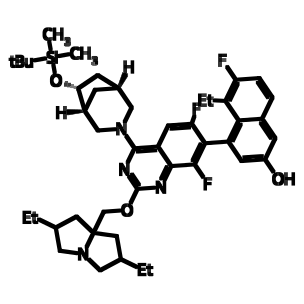 CCc1c(F)ccc2cc(O)cc(-c3c(F)cc4c(N5C[C@@H]6C[C@H](C5)[C@H](O[Si](C)(C)C(C)(C)C)C6)nc(OCC56CC(CC)CN5CC(CC)C6)nc4c3F)c12